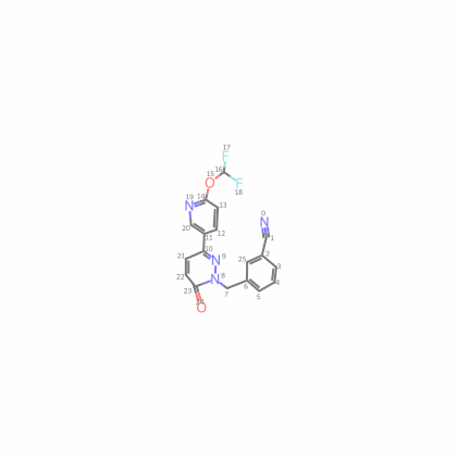 N#Cc1cccc(Cn2nc(-c3ccc(OC(F)F)nc3)ccc2=O)c1